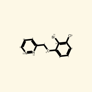 Clc1cccc(OCc2cccnn2)c1Br